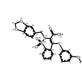 COc1cccc(SC2=C(C(=O)O)N(Cc3ccc4c(c3)OCO4)S(=O)(=O)c3ccccc32)c1